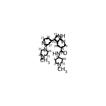 CN1CCC(NC(=O)c2cnc3[nH]cc(-c4ccnc(N5CCN(C)CC5)c4)c3c2)CC1